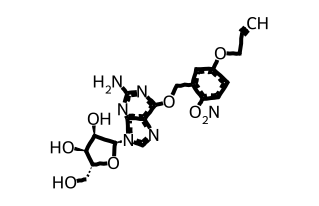 C#CCOc1ccc([N+](=O)[O-])c(COc2nc(N)nc3c2ncn3[C@@H]2O[C@H](CO)[C@@H](O)[C@H]2O)c1